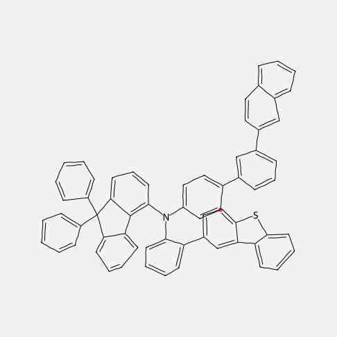 c1ccc(C2(c3ccccc3)c3ccccc3-c3c(N(c4ccc(-c5cccc(-c6ccc7ccccc7c6)c5)cc4)c4ccccc4-c4ccc5sc6ccccc6c5c4)cccc32)cc1